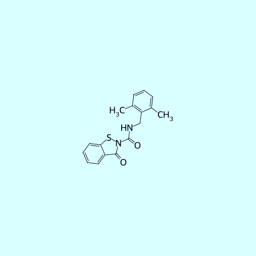 Cc1cccc(C)c1CNC(=O)n1sc2ccccc2c1=O